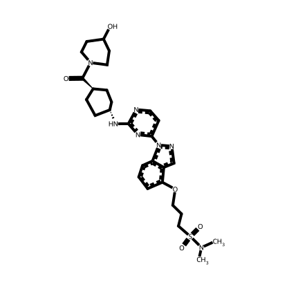 CN(C)S(=O)(=O)CCCOc1cccc2c1cnn2-c1ccnc(N[C@H]2CC[C@H](C(=O)N3CCC(O)CC3)CC2)n1